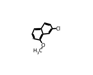 COc1[c]ccc2ccc(Cl)cc12